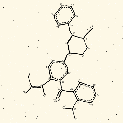 CC(C)=C(C)c1ccc(C2CCC(C)C(c3ccccc3)C2)cc1C(=O)c1ccccc1C(C)C